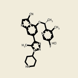 Cc1cc(F)cnc1[C@@H](C)Oc1cc(-c2nnn(C3CCNCC3)c2C)cc2ncc(C#N)n12.Cl